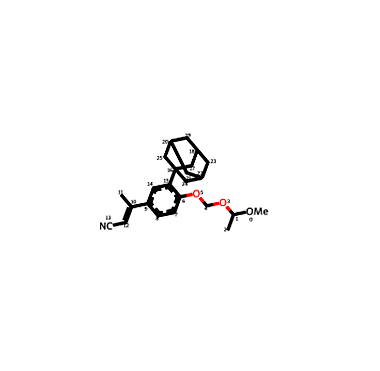 COC(C)OCOc1ccc(C(C)=CC#N)cc1C12CC3CC(CC(C3)C1)C2